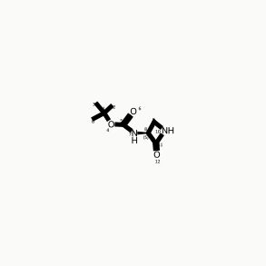 CC(C)(C)OC(=O)N[C@H]1CNC1=O